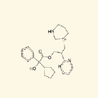 O=C(OCC(C[C@H]1CCCNC1)c1ncccn1)C(O)(c1ccccc1)C1CCCC1